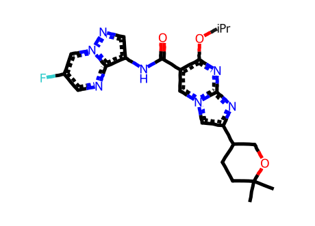 CC(C)Oc1nc2nc(C3CCC(C)(C)OC3)cn2cc1C(=O)Nc1cnn2cc(F)cnc12